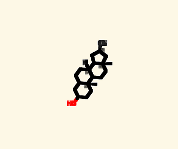 C[C@@]12CCC3[C@H](CCC4CC(O)CC[C@]43C)C1C[C@@H](C#N)C2